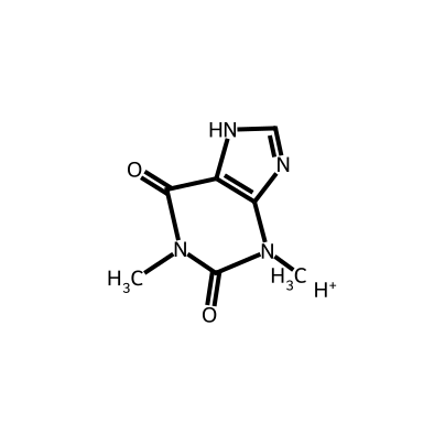 Cn1c(=O)c2[nH]cnc2n(C)c1=O.[H+]